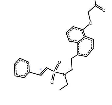 CCN(CCc1cccc2c(OCC(=O)O)cccc12)S(=O)(=O)/C=C/c1ccccc1